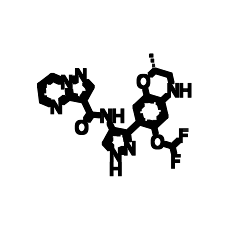 C[C@@H]1CNc2cc(OC(F)F)c(-c3n[nH]cc3NC(=O)c3cnn4cccnc34)cc2O1